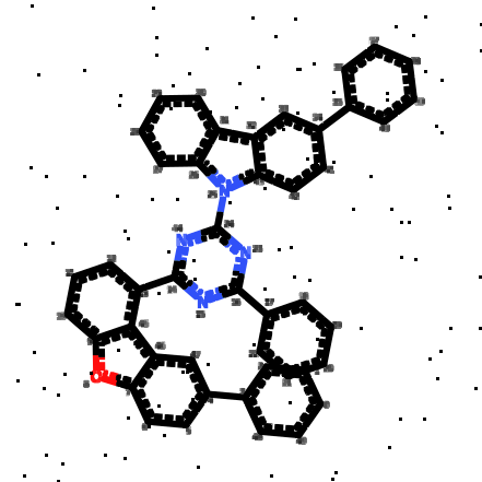 c1ccc(-c2ccc3oc4cccc(-c5nc(-c6ccccc6)nc(-n6c7ccccc7c7cc(-c8ccccc8)ccc76)n5)c4c3c2)cc1